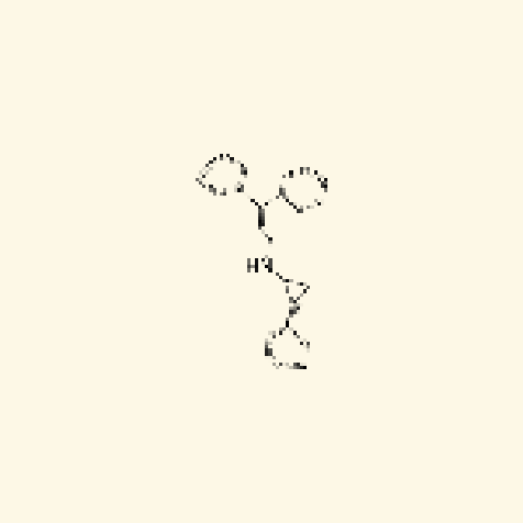 C(CNC1C[C@H]1c1ccccc1)=C(c1ccccc1)c1ccccc1